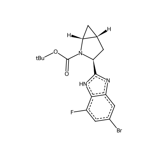 CC(C)(C)OC(=O)N1[C@@H]2C[C@@H]2C[C@H]1c1nc2cc(Br)cc(F)c2[nH]1